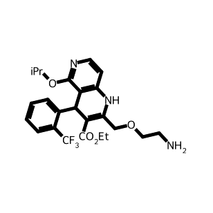 CCOC(=O)C1=C(COCCN)Nc2ccnc(OC(C)C)c2C1c1ccccc1C(F)(F)F